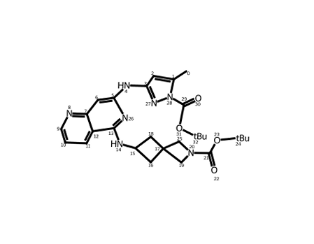 Cc1cc(Nc2cc3ncccc3c(NC3CC4(C3)CN(C(=O)OC(C)(C)C)C4)n2)nn1C(=O)OC(C)(C)C